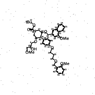 COC[C@@H](O)CO[C@@H]1CN(C(=O)OC(C)(C)C)C[C@H](OCc2cc(OC)c3ccccc3c2)[C@H]1c1ccc(OCCCOCc2ccccc2OC)cc1